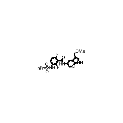 CCCS(=O)(=O)Nc1ccc(F)c(C(=O)Nc2cnc3[nH]cc(COC)c3c2)c1F